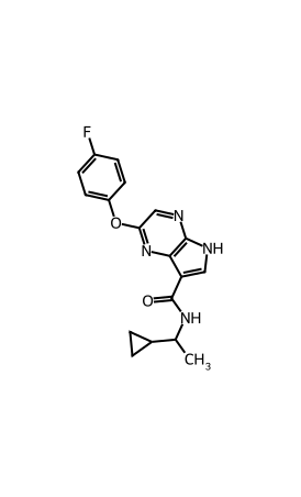 CC(NC(=O)c1c[nH]c2ncc(Oc3ccc(F)cc3)nc12)C1CC1